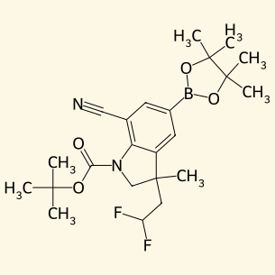 CC(C)(C)OC(=O)N1CC(C)(CC(F)F)c2cc(B3OC(C)(C)C(C)(C)O3)cc(C#N)c21